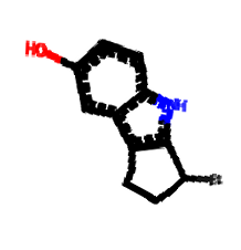 CCC1CCc2c1[nH]c1ccc(O)cc21